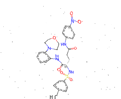 Cc1ccc(S(=O)(=O)N[C@@H](CCC(=O)Nc2ccc([N+](=O)[O-])cc2)C(=O)Nc2ccccc2N2CCOCC2)cc1